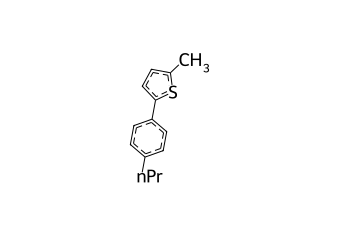 CCCc1ccc(-c2ccc(C)s2)cc1